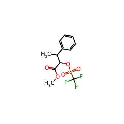 COC(=O)C(OS(=O)(=O)C(F)(F)F)C(C)c1ccccc1